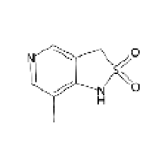 Cc1cncc2c1NS(=O)(=O)C2